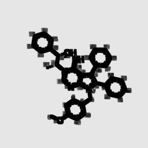 COc1ccc(Cn2c(-c3ccccc3)c(-c3ccccc3)c3c(=N)n([C@H](C)[C@@H](O)c4ccccc4)cnc32)cc1